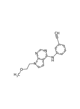 C#Cc1cccc(Nc2ncnc3c2ccn3CCOC)c1